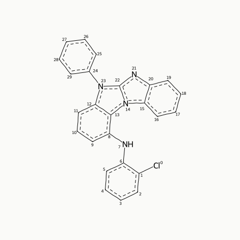 Clc1ccccc1Nc1cccc2c1n1c3ccccc3nc1n2-c1ccccc1